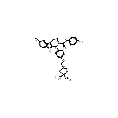 CC1(C)OC[C@H](COc2ccc([C@H]3c4[nH]c5c(c4CCN3C(=O)Oc3ccc(Cl)cc3)=CC(Cl)CC=5)cc2)O1